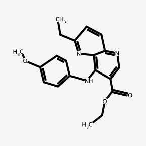 CCOC(=O)c1cnc2ccc(CC)nc2c1Nc1ccc(OC)cc1